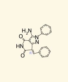 Nc1c2c(nn1-c1ccccc1)/C(=C\c1ccccc1)C(=O)NC2=O